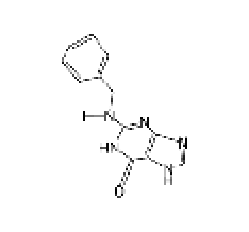 O=c1[nH]c(N(I)Cc2ccccc2)nc2nc[nH]c12